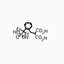 CCC(CC)(c1ccccc1CC(C(=O)O)C(=O)O)P(=O)(O)O